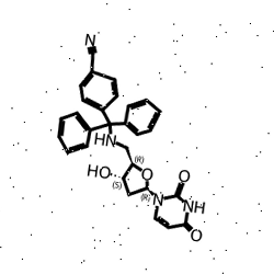 N#Cc1ccc(C(NC[C@H]2O[C@@H](n3ccc(=O)[nH]c3=O)C[C@@H]2O)(c2ccccc2)c2ccccc2)cc1